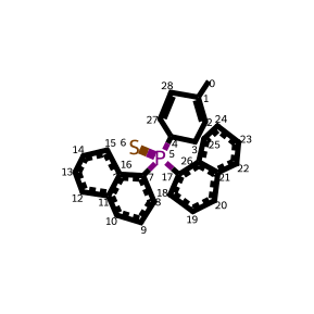 CC1=CCC(P(=S)(c2cccc3ccccc23)c2cccc3ccccc23)C=C1